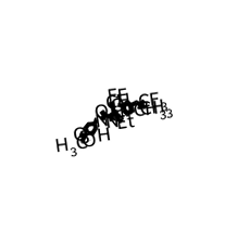 C#Cc1c(C(=O)NCC2CCC(S(C)(=O)=O)CC2)nc(CC)n1-c1ccc(CC(C)(C)C(F)(F)F)cc1OC(F)F